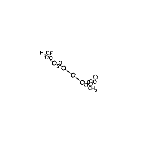 C=C(CC(=O)OC1CCCCC1)C(=O)Oc1ccc(C#Cc2ccc(C#Cc3ccc(C(=O)Sc4ccc(COC(=O)C(C)F)cc4)cc3)cc2)cc1